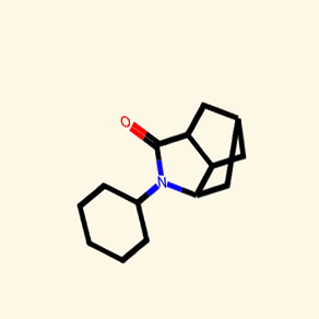 O=C1C2CC3CC2C(C3)N1C1CCCCC1